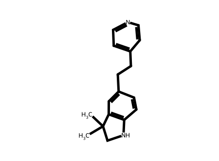 CC1(C)CNc2ccc(CCc3ccncc3)cc21